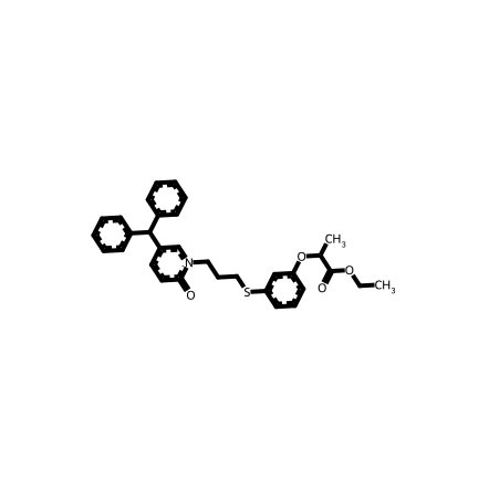 CCOC(=O)C(C)Oc1cccc(SCCCn2cc(C(c3ccccc3)c3ccccc3)ccc2=O)c1